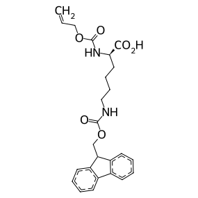 C=CCOC(=O)N[C@H](CCCCNC(=O)OCC1c2ccccc2-c2ccccc21)C(=O)O